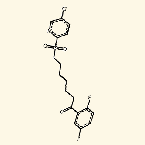 O=C(CCCCCCS(=O)(=O)c1ccc(Cl)cn1)c1cc(F)ccc1F